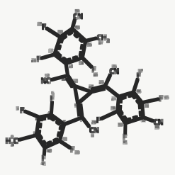 Cc1c(F)c(F)c(/C(C#N)=C2\C(=C(C#N)c3c(F)c(C)c(C#N)c(F)c3F)\C2=C(/C#N)c2c(F)c(F)c(C#N)c(F)c2F)c(F)c1F